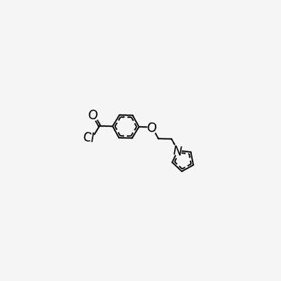 O=C(Cl)c1ccc(OCCn2cccc2)cc1